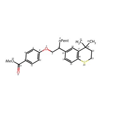 CCCCCC(COc1ccc(C(=O)OC)cc1)c1ccc2c(c1)C(C)(C)CCS2